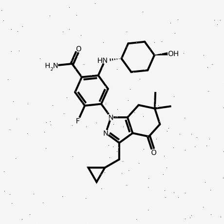 CC1(C)CC(=O)c2c(CC3CC3)nn(-c3cc(N[C@H]4CC[C@H](O)CC4)c(C(N)=O)cc3F)c2C1